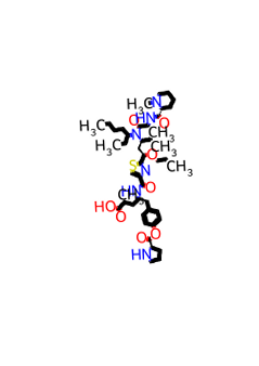 CCCCC(CC)N(C(=O)CNC(=O)[C@H]1CCCCN1C)[C@H](C[C@@H](OCCC)c1nc(C(=O)N[C@@H](Cc2ccc(OC(=O)[C@H]3CCCN3)cc2)C[C@H](C)C(=O)O)cs1)C(C)C